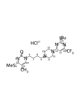 CSc1nc(=O)n(CCCCN2CCN(c3cc(C(F)(F)F)nc(C(C)(C)C)n3)CC2)cc1C.Cl